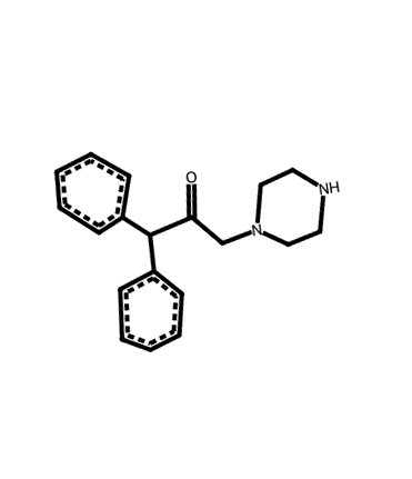 O=C(CN1CCNCC1)C(c1ccccc1)c1ccccc1